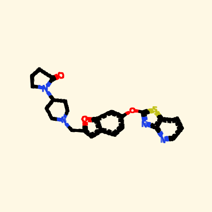 O=C1CCCN1C1CCN(Cc2cc3ccc(Oc4nc5ncccc5s4)cc3o2)CC1